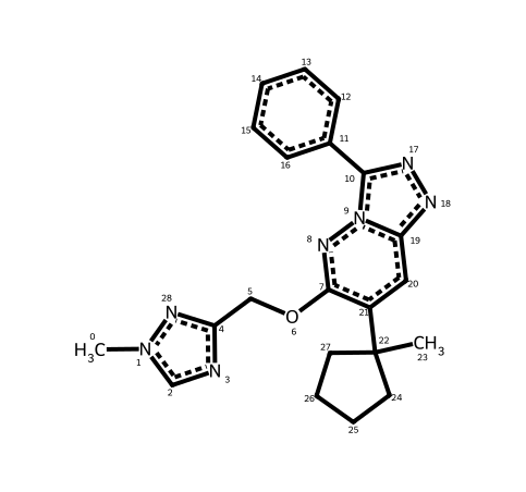 Cn1cnc(COc2nn3c(-c4ccccc4)nnc3cc2C2(C)CCCC2)n1